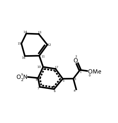 COC(=O)C(C)c1ccc([N+](=O)[O-])c(C2=CCCCC2)c1